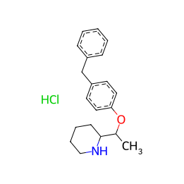 CC(Oc1ccc(Cc2ccccc2)cc1)C1CCCCN1.Cl